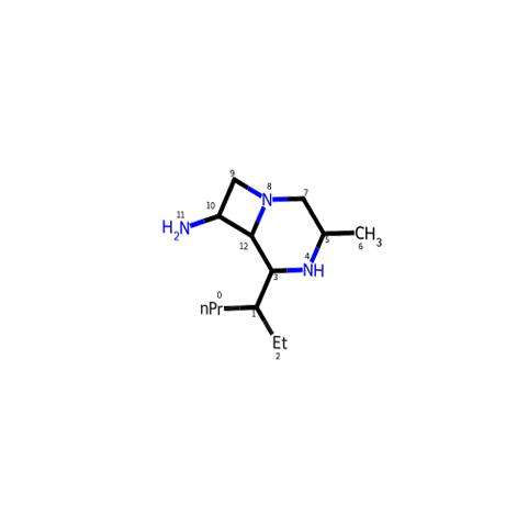 CCCC(CC)C1NC(C)CN2CC(N)C12